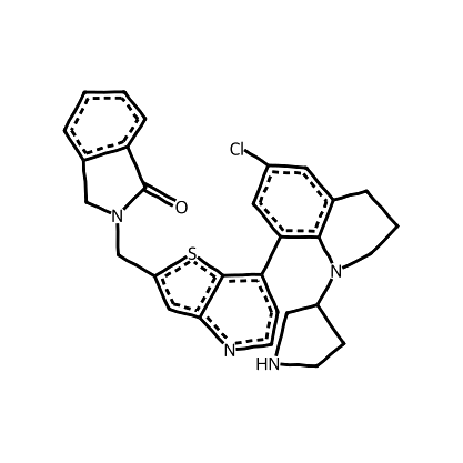 O=C1c2ccccc2CN1Cc1cc2nccc(-c3cc(Cl)cc4c3N(C3CCNC3)CCC4)c2s1